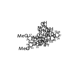 COc1ccc(C(OC[C@H]2O[C@@H](n3cnc4c(=O)[nH]c(NC(=O)COc5ccccc5)nc43)[C@H](OC(=O)Nc3ccccc3)[C@@H]2O[PH](O)(CCC#N)N(C(C)C)C(C)C)(c2ccccc2)c2ccc(OC)cc2)cc1